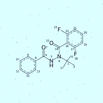 CC(C)(C)N(NC(=O)c1ccccc1)C(=O)c1c(F)cccc1F